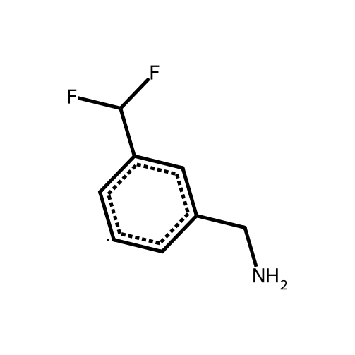 NCc1c[c]cc(C(F)F)c1